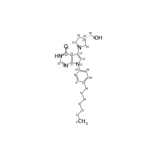 CCCCCCCc1ccc(-n2cc(N3CC[C@H](CO)C3)c3c(=O)[nH]cnc32)cc1